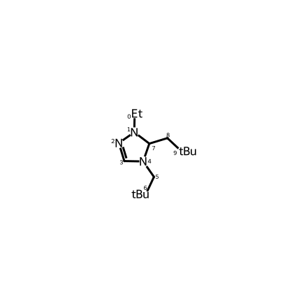 CCN1N=CN(CC(C)(C)C)C1CC(C)(C)C